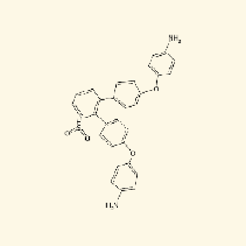 Nc1ccc(Oc2ccc(-c3cccc([SH](=O)=O)c3-c3ccc(Oc4ccc(N)cc4)cc3)cc2)cc1